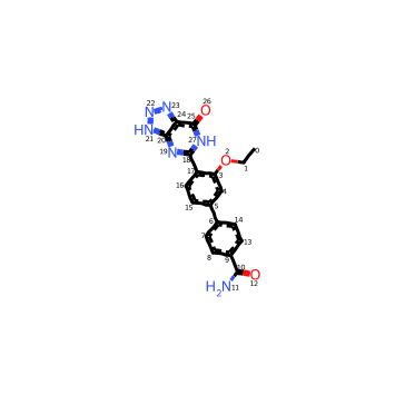 CCOc1cc(-c2ccc(C(N)=O)cc2)ccc1-c1nc2[nH]nnc2c(=O)[nH]1